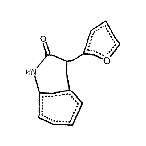 O=C1Nc2ccccc2C1c1ccco1